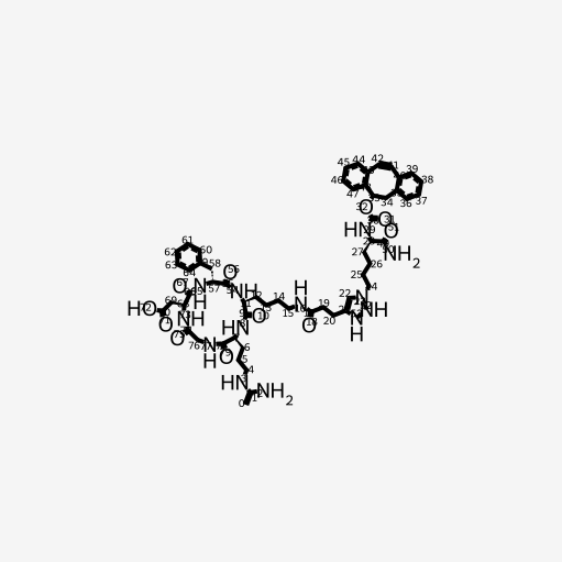 C=C(N)NCCC[C@@H]1NC(=O)[C@H](CCCCNC(=O)CCC2=CN(CCCC[C@@H](NC(=O)OC3Cc4ccccc4C#Cc4ccccc43)C(N)=O)NN2)NC(=O)[C@@H](Cc2ccccc2)NC(=O)[C@H](CC(=O)O)NC(=O)CNC1=O